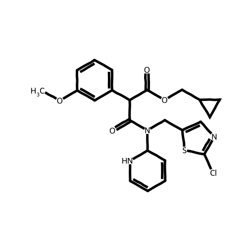 COc1cccc(C(C(=O)OCC2CC2)C(=O)N(Cc2cnc(Cl)s2)C2C=CC=CN2)c1